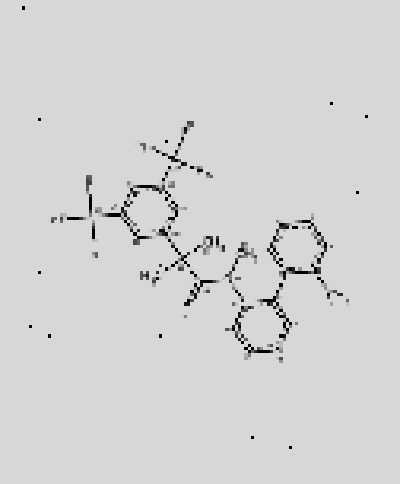 Cc1ccccc1-c1cnccc1N(C)C(=O)C(C)(C)c1cc(C(F)(F)F)cc(C(F)(F)F)c1